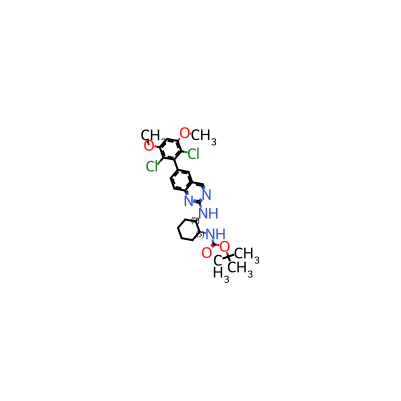 COc1cc(OC)c(Cl)c(-c2ccc3nc(N[C@@H]4CCCC[C@@H]4NC(=O)OC(C)(C)C)ncc3c2)c1Cl